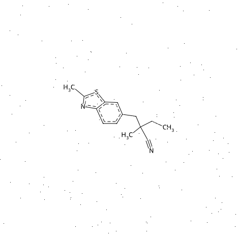 CCC(C)(C#N)Cc1ccc2nc(C)sc2c1